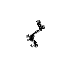 Cc1ncsc1-c1ccc(CNC(=O)[C@@H]2C[C@@H](O)CN2C(=O)C(NC(=O)COCCOCCCn2cc(-c3ccc4c(c3)CC/C4=N\O)c(-c3ccncc3)n2)C(C)(C)C)cc1